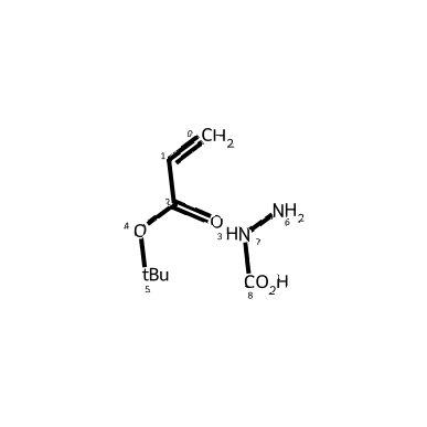 C=CC(=O)OC(C)(C)C.NNC(=O)O